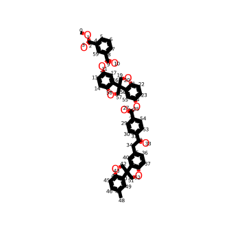 COC(=O)c1cccc(C(=O)Oc2ccc3c(c2)C2(COc4ccc(OC(=O)c5ccc(C(=O)Cc6ccc7c(c6)C6(COc8ccc(C)cc86)CO7)cc5)cc42)CO3)c1